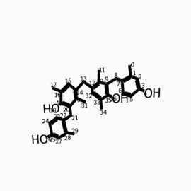 Cc1cc(O)ccc1Cc1c(C)c(Cc2cc(C)c(O)c(Cc3ccc(O)cc3C)c2C)cc(C)c1O